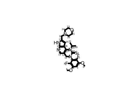 COc1cc(OC)c(F)c(N2Cc3cnc4[nH]c(CN5CCOCC5)cc4c3N(C(C)C)C2=S)c1F